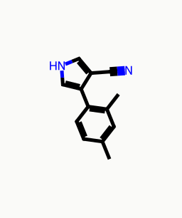 Cc1ccc(-c2c[nH]cc2C#N)c(C)c1